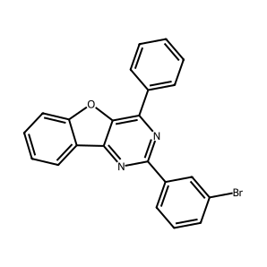 Brc1cccc(-c2nc(-c3ccccc3)c3oc4ccccc4c3n2)c1